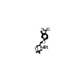 CCN1CC(C)(C)OCC1COc1ccc2c(c1)C=NC2=O